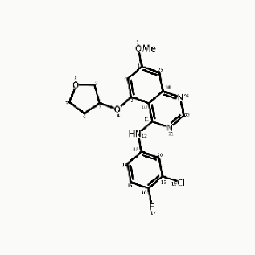 COc1cc(OC2CCOC2)c2c(Nc3ccc(F)c(Cl)c3)ncnc2c1